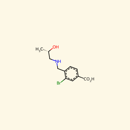 C[C@H](O)CNCc1ccc(C(=O)O)cc1Br